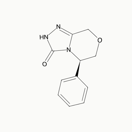 O=c1[nH]nc2n1[C@H](c1ccccc1)COC2